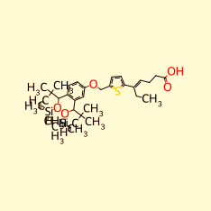 CCC(=CCCC(=O)O)c1ccc(COc2ccc(C(O[SiH](C)C)C(C)(C)C)c(C(O[SiH](C)C)C(C)(C)C)c2)s1